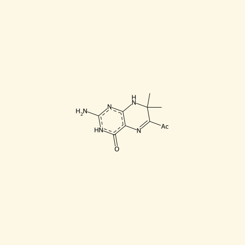 CC(=O)C1=Nc2c(nc(N)[nH]c2=O)NC1(C)C